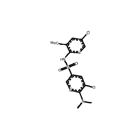 COc1cc(Cl)cnc1NS(=O)(=O)c1cnc(N(C)C)c(Cl)c1